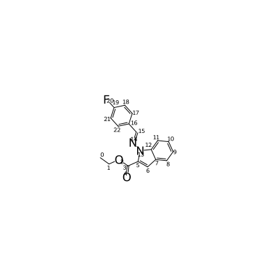 CCOC(=O)c1cc2ccccc2n1N=Cc1ccc(F)cc1